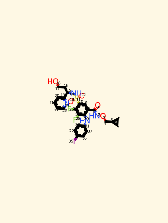 O=C(NOCC1CC1)c1cc(S(=O)(=O)NC(CCO)c2ccccn2)c(F)c(F)c1Nc1ccc(I)cc1